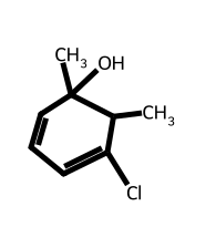 CC1C(Cl)=CC=CC1(C)O